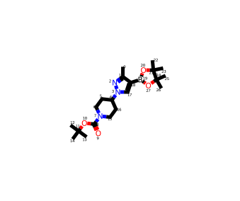 Cc1nn(C2CCN(C(=O)OC(C)(C)C)CC2)cc1B1OC(C)(C)C(C)(C)O1